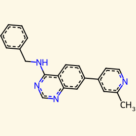 Cc1cc(-c2ccc3c(NCc4ccccc4)ncnc3c2)ccn1